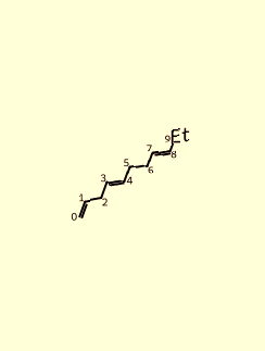 C=CCC=CCCC=CCC